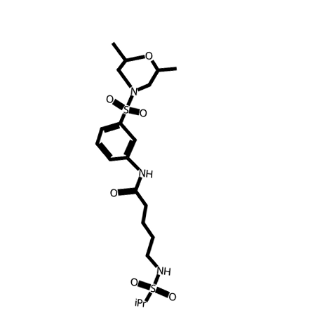 CC1CN(S(=O)(=O)c2cccc(NC(=O)CCCCNS(=O)(=O)C(C)C)c2)CC(C)O1